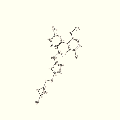 COc1cnc(Cl)c(F)c1-c1cc(C)ncc1C(=O)Nc1nnc(OCC23CC(O)(C2)C3)s1